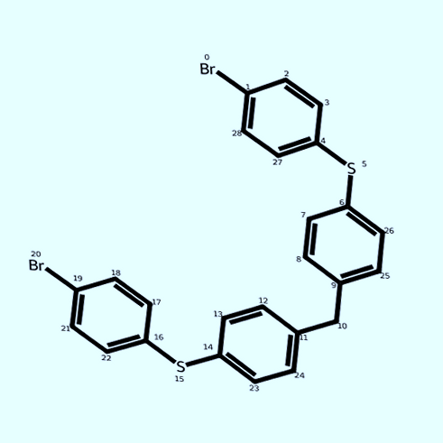 Brc1ccc(Sc2ccc(Cc3ccc(Sc4ccc(Br)cc4)cc3)cc2)cc1